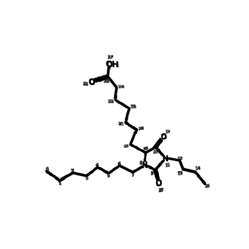 CCCCCCCCN1C(=O)N(CCCC)C(=O)C1CCCCCCC(=O)O